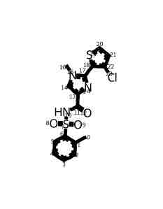 Cc1ccccc1S(=O)(=O)NC(=O)c1cn(C)c(-c2sccc2Cl)n1